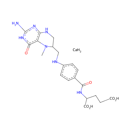 CN1c2c(nc(N)[nH]c2=O)NCC1CNc1ccc(C(=O)NC(CCC(=O)O)C(=O)O)cc1.[CaH2]